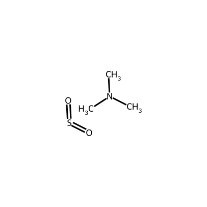 CN(C)C.O=S=O